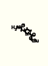 CC(C)(C)OC(=O)N1CC[C@@H](CC(N)=O)C1